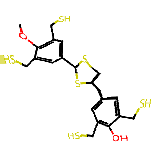 COc1c(CS)cc(C2SCC(c3cc(CS)c(O)c(CS)c3)S2)cc1CS